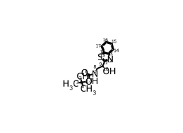 CC(C)(C)OC(=O)NCC(O)c1nc2ccccc2s1